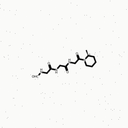 C[C@H]1CCCCN1C(=O)CNC(=O)CNC(=O)CNC=O